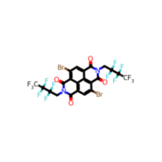 O=C1c2cc(Br)c3c4c(cc(Br)c(c24)C(=O)N1CC(F)(F)C(F)(F)C(F)(F)F)C(=O)N(CC(F)(F)C(F)(F)C(F)(F)F)C3=O